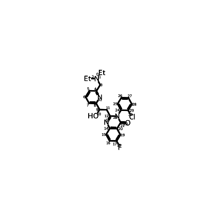 CCN(CC)Cc1cccc(C(O)Cc2nc3ccc(F)cc3c(=O)n2-c2ccccc2Cl)n1